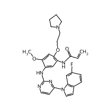 C=CC(=O)Nc1cc(Nc2nccc(-n3ccc4ccc(F)cc43)n2)c(OC)cc1OCCN1CCCC1